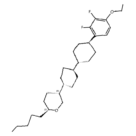 CCCCC[C@H]1CC[C@H]([C@H]2CC[C@H]([C@H]3CC[C@H](c4ccc(OCC)c(F)c4F)CC3)CC2)CO1